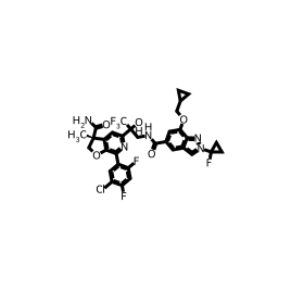 C[C@]1(C(N)=O)COc2c1cc(C(O)(CNC(=O)c1cc(OCC3CC3)c3nn(C4(F)CC4)cc3c1)C(F)(F)F)nc2-c1cc(Cl)c(F)cc1F